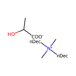 CC(O)C(=O)[O-].CCCCCCCCCC[N+](C)(C)CCCCCCCCCC